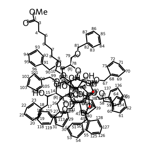 COC(=O)CCCCCCCCO[C@H]1O[C@H](C(O)Cc2ccccc2)[C@](O)(Cc2ccccc2)[C@@](O)(Cc2ccccc2)[C@@]1(O)[C@@H]1O[C@H](COCc2ccccc2)[C@@H](OCc2ccccc2)[C@H](OCc2ccccc2)[C@@]1(O)[C@@H]1O[C@H](COCc2ccccc2)[C@@H](OCc2ccccc2)[C@H](OCc2ccccc2)[C@@]1(O)[C@@H]1O[C@H](COCc2ccccc2)[C@@H](OCc2ccccc2)[C@H](OCc2ccccc2)[C@@H]1O